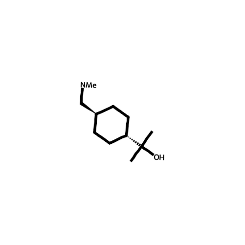 CNC[C@H]1CC[C@H](C(C)(C)O)CC1